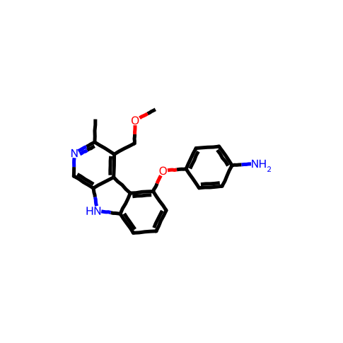 COCc1c(C)ncc2[nH]c3cccc(Oc4ccc(N)cc4)c3c12